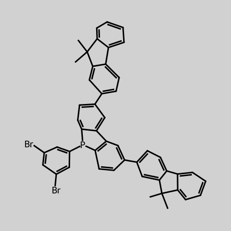 CC1(C)c2ccccc2-c2ccc(-c3ccc4c(c3)c3cc(-c5ccc6c(c5)C(C)(C)c5ccccc5-6)ccc3p4-c3cc(Br)cc(Br)c3)cc21